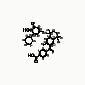 C=C(c1ccc(C(=O)O)cc1)c1cc2c(cc1C)C(C)(C)CCC2(C)C.Cc1cc(C2CCCCC2)n(O)c(=O)c1